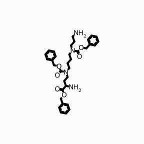 NCCCN(CCCCN(CCC(N)C(=O)OCc1ccccc1)C(=O)OCc1ccccc1)C(=O)OCc1ccccc1